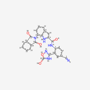 N#Cc1ccc(NC(=O)c2cc3cccc(N4C(=O)c5ccccc5C4=O)c3[nH]2)c(-c2noc(=O)[nH]2)c1